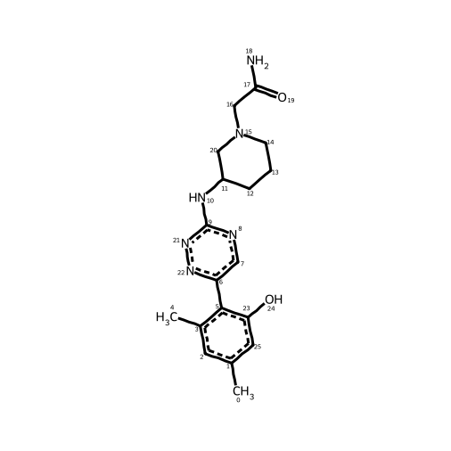 Cc1cc(C)c(-c2cnc(NC3CCCN(CC(N)=O)C3)nn2)c(O)c1